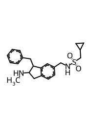 CNC1Cc2ccc(CNS(=O)(=O)CC3CC3)cc2C1Cc1ccccc1